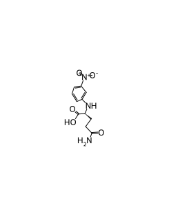 NC(=O)CC[C@H](Nc1cccc([N+](=O)[O-])c1)C(=O)O